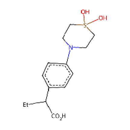 CCC(C(=O)O)c1ccc(N2CCS(O)(O)CC2)cc1